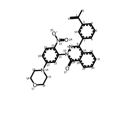 C=C(C)c1cccc(-c2nn(-c3cc(N4CCOCC4)ccc3[N+](=O)[O-])c(=O)c3ccccc23)c1